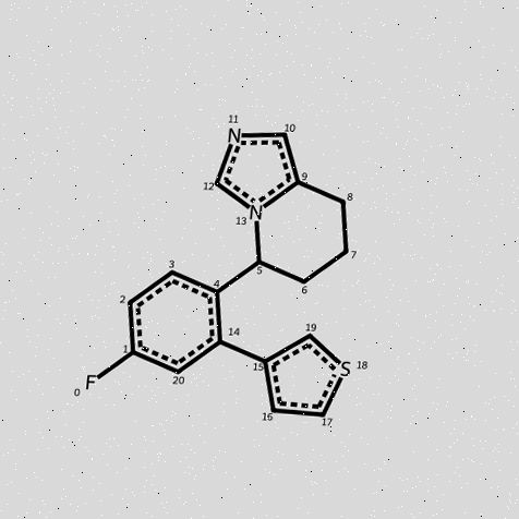 Fc1ccc(C2CCCc3cncn32)c(-c2ccsc2)c1